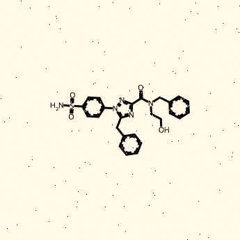 NS(=O)(=O)c1ccc(-n2nc(C(=O)N(CCO)Cc3ccccc3)nc2Cc2ccccc2)cc1